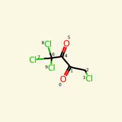 O=C(CCl)C(=O)C(Cl)(Cl)Cl